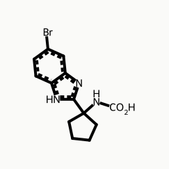 O=C(O)NC1(c2nc3cc(Br)ccc3[nH]2)CCCC1